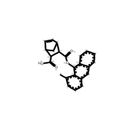 Cc1cccc2cc3ccccc3c(OC(=O)C3C4C=CC(C4)C3C(=O)O)c12